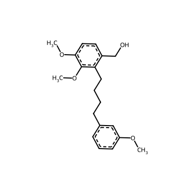 COc1cccc(CCCCc2c(CO)ccc(OC)c2OC)c1